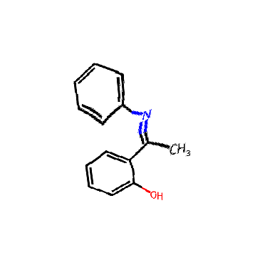 CC(=Nc1ccccc1)c1ccccc1O